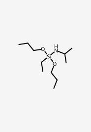 CCCO[Si](CC)(NC(C)C)OCCC